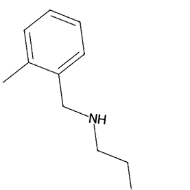 Cc1ccccc1CNCCOCC(C)C